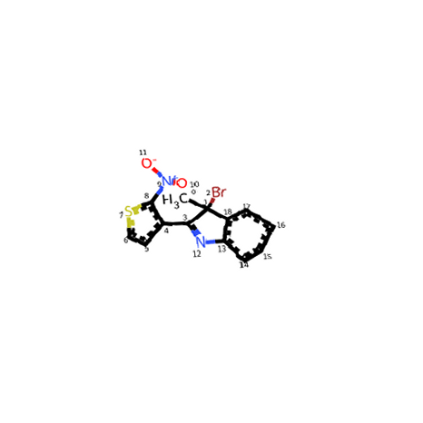 CC1(Br)C(c2ccsc2[N+](=O)[O-])=Nc2ccccc21